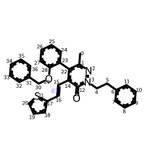 Cc1nn(CCc2ccccc2)c(=O)c(/C=C/c2cccs2)c1-c1ccccc1OCc1ccccc1